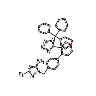 CCc1nn(Cc2ccc(-c3ccccc3-c3nnnn3C(c3ccccc3)(c3ccccc3)c3ccccc3)cc2)c(=N)s1